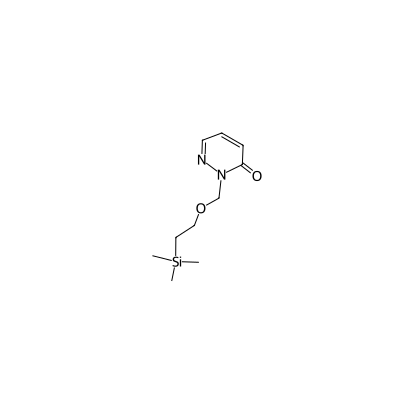 C[Si](C)(C)CCOCn1ncccc1=O